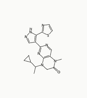 CC(C1CC1)N1CC(=O)N(C)c2cnc(-c3cn[nH]c3-c3nccs3)nc21